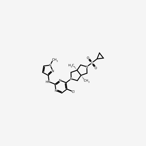 Cn1ccc(Nc2ncc(Cl)c(N3C[C@@]4(C)CN(S(=O)(=O)C5CC5)C[C@@]4(C)C3)n2)n1